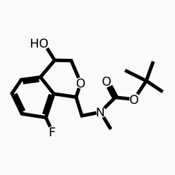 CN(CC1OCC(O)c2cccc(F)c21)C(=O)OC(C)(C)C